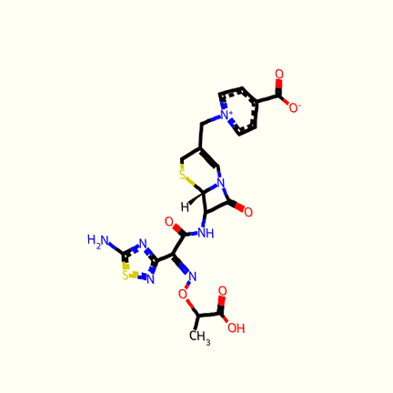 CC(ON=C(C(=O)NC1C(=O)N2C=C(C[n+]3ccc(C(=O)[O-])cc3)CS[C@@H]12)c1nsc(N)n1)C(=O)O